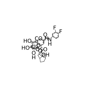 O=C(Nc1ccc(F)c(F)c1)c1ccc(Cl)c(S(=O)(=O)[C@H]2CC3CCC(C2)[C@]3(O)CO[C@@H]2O[C@H](C(=O)O)[C@@H](O)[C@H](O)[C@H]2O)c1